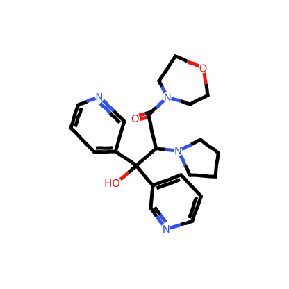 O=C(C(N1CCCC1)C(O)(c1cccnc1)c1cccnc1)N1CCOCC1